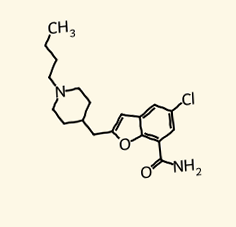 CCCCN1CCC(Cc2cc3cc(Cl)cc(C(N)=O)c3o2)CC1